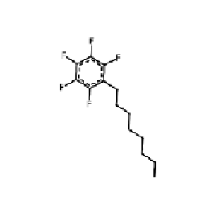 CCCCCCCCc1c(F)c(F)c(F)c(F)c1F